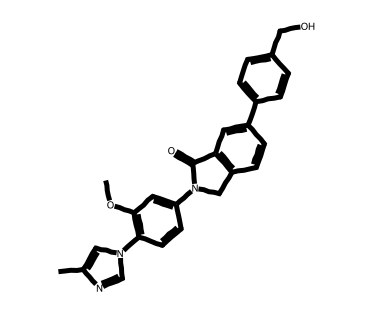 COc1cc(N2Cc3ccc(-c4ccc(CO)cc4)cc3C2=O)ccc1-n1cnc(C)c1